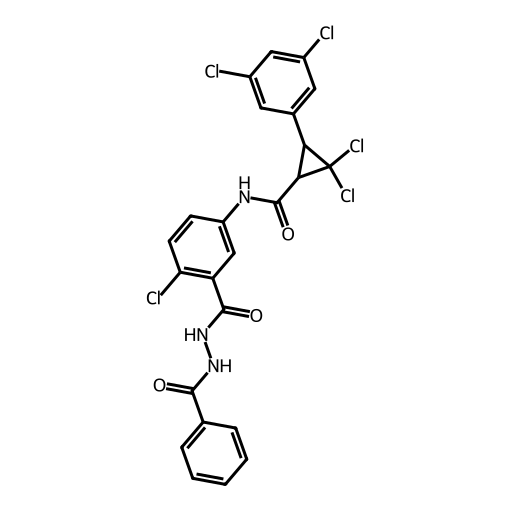 O=C(NNC(=O)c1cc(NC(=O)C2C(c3cc(Cl)cc(Cl)c3)C2(Cl)Cl)ccc1Cl)c1ccccc1